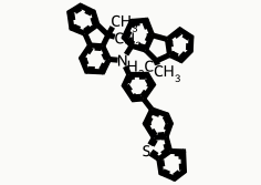 CC1(C)c2ccccc2-c2cccc(N(c3ccc(-c4ccc5c(c4)sc4ccccc45)cc3)c3cccc4c3C(C)(C)c3ccccc3-4)c21